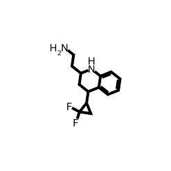 NCCC1CC(C2CC2(F)F)c2ccccc2N1